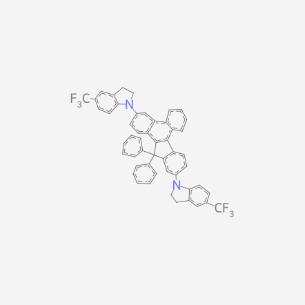 FC(F)(F)c1ccc2c(c1)CCN2c1ccc2c(c1)C(c1ccccc1)(c1ccccc1)c1c-2c2ccccc2c2cc(N3CCc4cc(C(F)(F)F)ccc43)ccc12